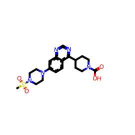 CS(=O)(=O)N1CCN(c2ccc3c(C4CCN(C(=O)O)CC4)ncnc3c2)CC1